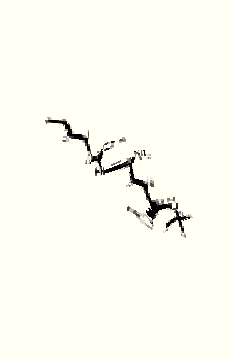 CCCCOC(=O)NC(N)CCC(=O)OC(C)(C)C